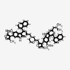 COc1cc2c(cc1-c1c(C)noc1C)[nH]c1nc(CN3CCOC(Cc4onc(C)c4-c4cc5[nH]c6nc(CN(C)C)nc(-c7ccnc8ccccc78)c6c5cc4OC)C3)nc(-c3ccnc4ccccc34)c12